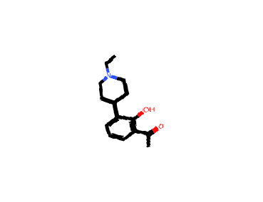 CCN1CCC(c2cccc(C(C)=O)c2O)CC1